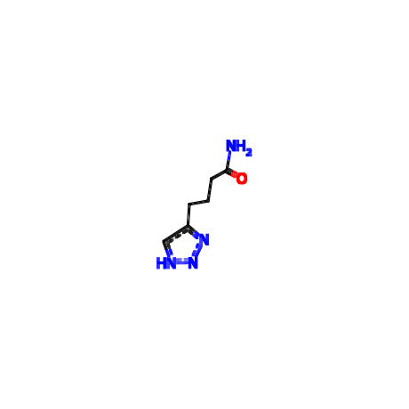 NC(=O)CCCc1c[nH]nn1